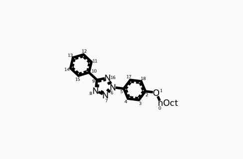 CCCCCCCCOc1ccc(-n2nnc(-c3ccccc3)n2)cc1